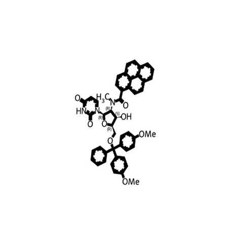 COc1ccc(C(OC[C@H]2O[C@@H](n3ccc(=O)[nH]c3=O)[C@H](N(C)C(=O)c3ccc4ccc5cccc6ccc3c4c56)[C@@H]2O)(c2ccccc2)c2ccc(OC)cc2)cc1